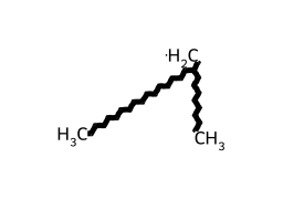 [CH2]CC(CCCCCCCCC)CCCCCCCCCCCCCCCCC